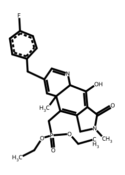 CCOP(=O)(CC1=C2CN(C)C(=O)C2=C(O)C2N=CC(Cc3ccc(F)cc3)=CC12C)OCC